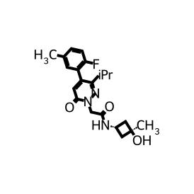 Cc1ccc(F)c(-c2cc(=O)n(CC(=O)N[C@H]3C[C@](C)(O)C3)nc2C(C)C)c1